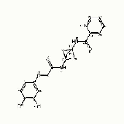 O=C(COc1ccc(Cl)c(Cl)c1)NC12CC(NC(=O)c3ccccn3)(C1)C2